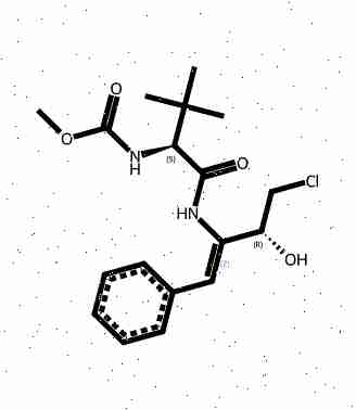 COC(=O)N[C@H](C(=O)N/C(=C\c1ccccc1)[C@@H](O)CCl)C(C)(C)C